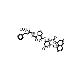 CCOC(=O)[C@H](CCc1ccccc1)N[C@@H](C)C(=O)N1CCC[C@H]1C(=O)O[C@H]1CC(=O)O[C@@H](CC[C@@H]2[C@@H]3C(=C[C@H](C)C[C@@H]3OC(=O)[C@@H](C)CC)C=C[C@@H]2C)C1